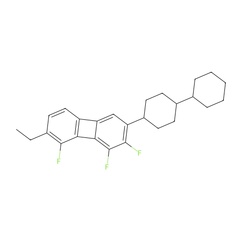 CCc1ccc2c(c1F)-c1c-2cc(C2CCC(C3CCCCC3)CC2)c(F)c1F